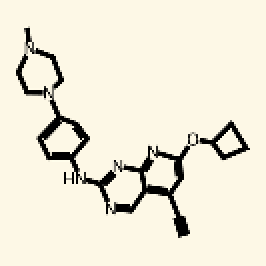 C#Cc1cc(OC2CCC2)nc2nc(Nc3ccc(N4CCN(C)CC4)cc3)ncc12